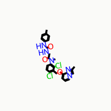 Cc1ccc(NC(=O)NCC(=O)N(C)c2ccc(Cl)c(COc3cccn4cc(C)nc34)c2Cl)cc1